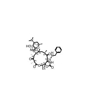 CC[C@H]1OC(=O)[C@H](C)C(=O)[C@H](C)[C@@H](O[C@@H]2O[C@H](C)C[C@H](N(C)C)[C@H]2O)[C@@](C)(OC)C[C@@H](C)C(=O)[C@H](CNCc2ccccc2)[C@H]2NC(=O)O[C@@]21C